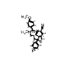 COc1ccc(C(=N)N(C)CCCC2(c3ccc(F)cc3)OCc3cc(C#N)ccc32)cc1